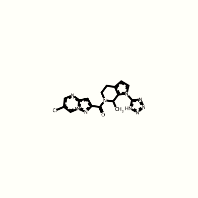 CC1c2c(ccn2-c2nnn[nH]2)CCN1C(=O)c1cc2ncc(Cl)cn2n1